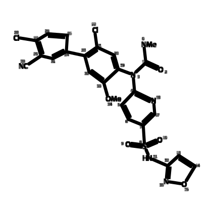 CNC(=O)N(c1ccc(S(=O)(=O)Nc2ccon2)cn1)c1cc(Cl)c(-c2ccc(Cl)c(C#N)c2)cc1OC